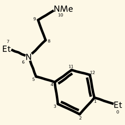 CCc1ccc(CN(CC)CCNC)cc1